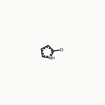 [O]c1ccc[nH]1